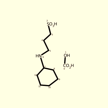 O=C(O)O.O=S(=O)(O)CCCNC1CCCCC1